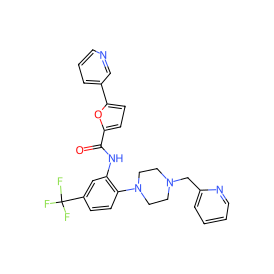 O=C(Nc1cc(C(F)(F)F)ccc1N1CCN(Cc2ccccn2)CC1)c1ccc(-c2cccnc2)o1